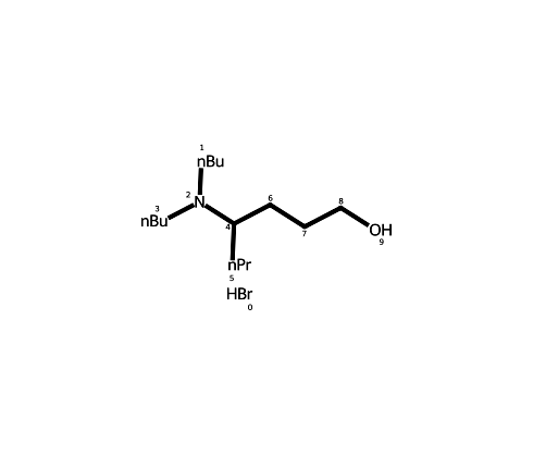 Br.CCCCN(CCCC)C(CCC)CCCO